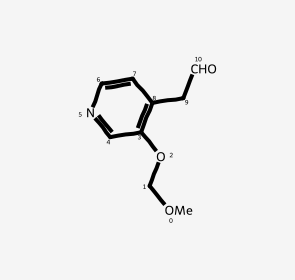 COCOc1cnccc1CC=O